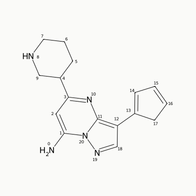 Nc1cc(C2CCCNC2)nc2c(C3=CC=CC3)cnn12